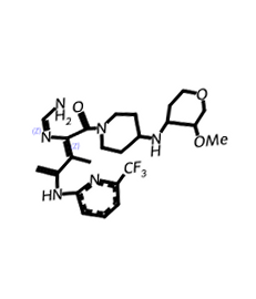 C=C(Nc1cccc(C(F)(F)F)n1)/C(C)=C(\N=C/N)C(=O)N1CCC(NC2CCOCC2OC)CC1